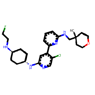 N#CC1(CNc2cccc(-c3cc(N[C@H]4CC[C@H](NCCF)CC4)ncc3Cl)n2)CCOCC1